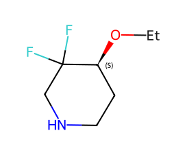 CCO[C@H]1CCNCC1(F)F